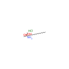 CCCCCCCCCCCCCCCCCC(N)C(CC(C)O)CC(C)O.Cl